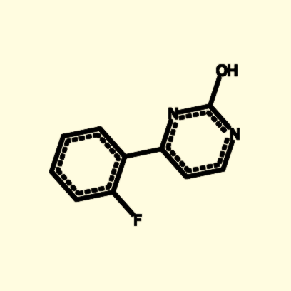 Oc1nccc(-c2ccccc2F)n1